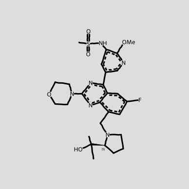 COc1ncc(-c2nc(N3CCOCC3)nc3c(CN4CCC[C@H]4C(C)(C)O)cc(F)cc23)cc1NS(C)(=O)=O